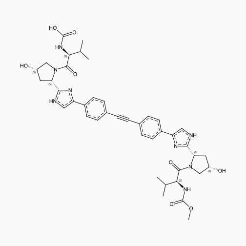 COC(=O)N[C@H](C(=O)N1C[C@@H](O)C[C@H]1c1nc(-c2ccc(C#Cc3ccc(-c4c[nH]c([C@@H]5C[C@H](O)CN5C(=O)[C@@H](NC(=O)O)C(C)C)n4)cc3)cc2)c[nH]1)C(C)C